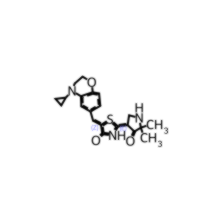 CC1(C)NC/C(=c2/[nH]c(=O)/c(=C/c3ccc4c(c3)N(C3CC3)CCO4)s2)C1=O